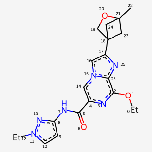 CCOc1nc(C(=O)Nc2ccn(CC)n2)cn2cc(C34COC(C)(C3)C4)nc12